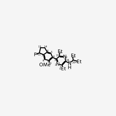 CCc1nc(-c2cc3c(cc2OC)C(F)CC3)c(CC)nc1NC(CC)CC